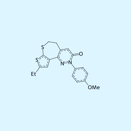 CCc1cc2c(s1)SCCc1cc(=O)n(-c3ccc(OC)cc3)nc1-2